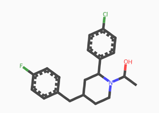 CC(O)N1CCC(Cc2ccc(F)cc2)CC1c1ccc(Cl)cc1